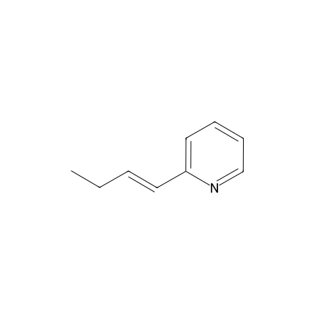 CC/C=C/c1ccccn1